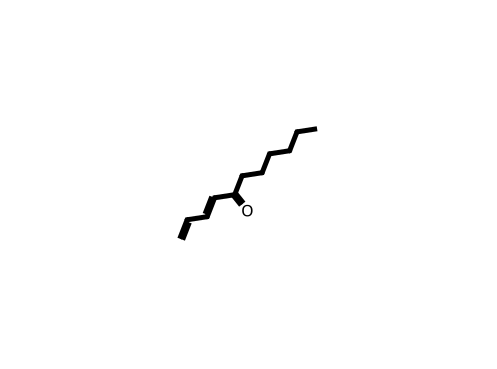 C=CC=CC(=O)CCCCCC